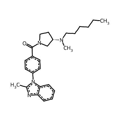 CCCCCCN(C)[C@H]1CCN(C(=O)c2ccc(-n3c(C)nc4ccccc43)cc2)C1